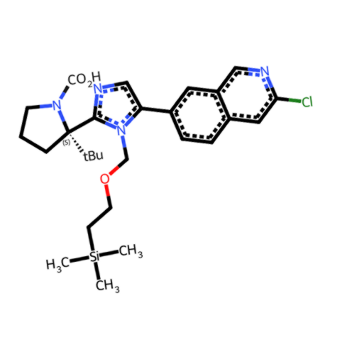 CC(C)(C)[C@]1(c2ncc(-c3ccc4cc(Cl)ncc4c3)n2COCC[Si](C)(C)C)CCCN1C(=O)O